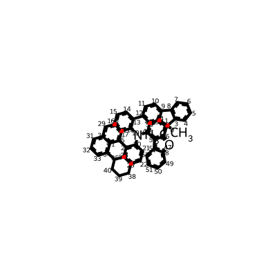 CC1(C)c2ccccc2-c2ccc(-c3ccccc3N(c3ccccc3-c3cccc4cccc(C5CCCCC5)c34)c3cccc4oc5ccccc5c34)cc21